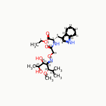 CCOC(=O)[C@H](Cc1c[nH]c2ccccc12)NC(=O)CO/N=C(\C(O)C(C)O)[C@@H](OC)C(C)C